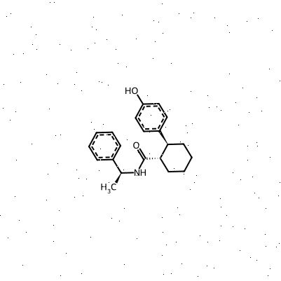 C[C@H](NC(=O)[C@H]1CCCC[C@@H]1c1ccc(O)cc1)c1ccccc1